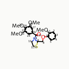 COc1ccccc1OCC1SCCN1C(=O)c1cc(OC)c(OC)c(OC)c1